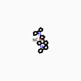 N#Cc1ccc(-n2c3ccccc3c3ccccc32)c(-c2ccccc2-c2ccc(-n3c4ccccc4c4ccccc43)cc2)c1C#N